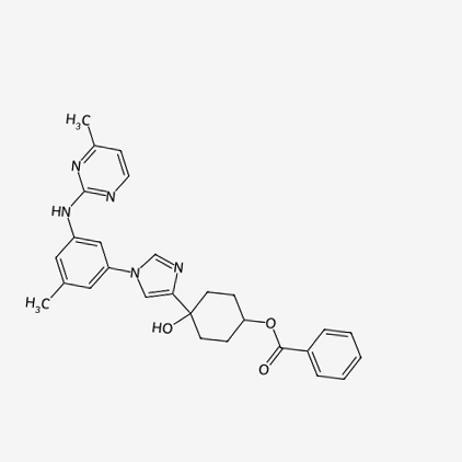 Cc1cc(Nc2nccc(C)n2)cc(-n2cnc(C3(O)CCC(OC(=O)c4ccccc4)CC3)c2)c1